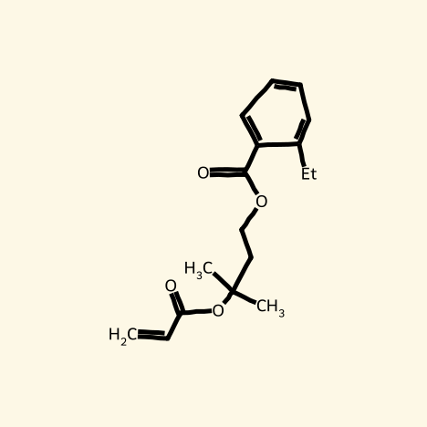 C=CC(=O)OC(C)(C)CCOC(=O)c1ccccc1CC